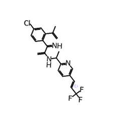 C=C(NC(C)c1ccc(/C=C/C(F)(F)F)cn1)C(=N)c1ccc(Cl)cc1C(=C)C